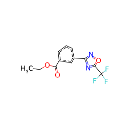 CCOC(=O)c1cccc(-c2noc(C(F)(F)F)n2)c1